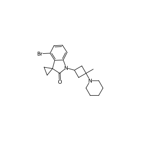 CC1(N2CCCCC2)CC(N2C(=O)C3(CC3)c3c(Br)cccc32)C1